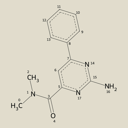 CN(C)C(=O)c1cc(-c2ccccc2)nc(N)n1